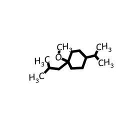 COC1(CC(C)C)CCC(C(C)C)CC1